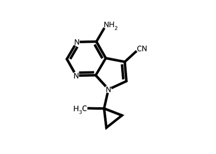 CC1(n2cc(C#N)c3c(N)ncnc32)CC1